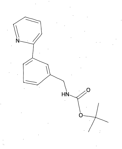 CC(C)(C)OC(=O)NCc1cccc(-c2ccccn2)c1